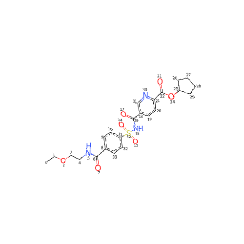 CCOCCNC(=O)c1ccc(S(=O)(=O)NC(=O)c2ccc(C(=O)OC3CCCC3)nc2)cc1